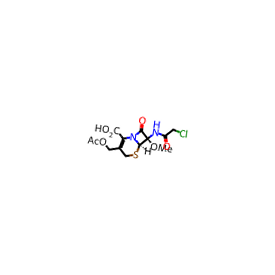 CO[C@]1(NC(=O)CCl)C(=O)N2C(C(=O)O)=C(COC(C)=O)CS[C@@H]21